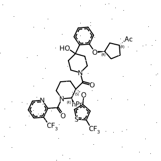 CCC[C@H]1N(C(=O)c2ncccc2C(F)(F)F)CCC[C@@]1(Oc1csc(C(F)(F)F)c1)C(=O)N1CCC(O)(c2ccccc2O[C@@H]2CC[C@@H](C(C)=O)C2)CC1